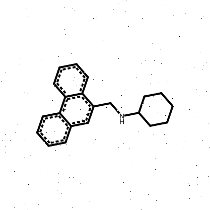 c1ccc2c(c1)cc(CNC1CCCCC1)c1ccccc12